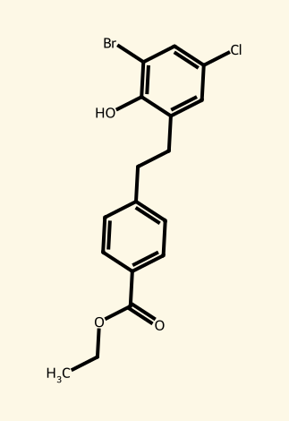 CCOC(=O)c1ccc(CCc2cc(Cl)cc(Br)c2O)cc1